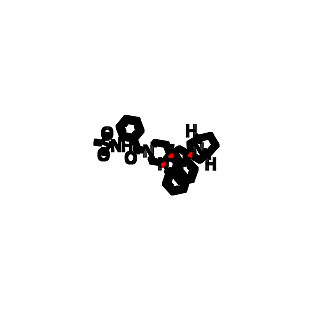 Cc1nc2ccccc2n1C1C[C@H]2CC[C@@H](C1)N2CCC1(c2ccccc2)CCN(C(=O)c2ccccc2NS(C)(=O)=O)CC1